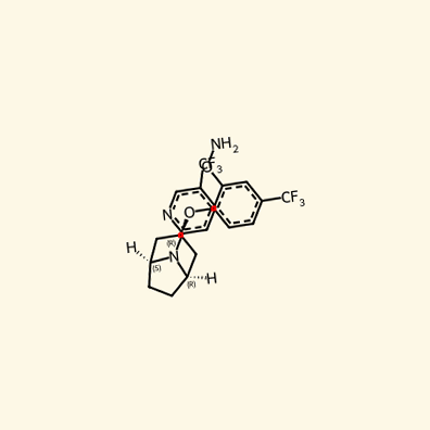 NOc1cc(C(F)(F)F)ccc1O[C@H]1C[C@H]2CC[C@@H](C1)N2c1ccc(C(F)(F)F)cn1